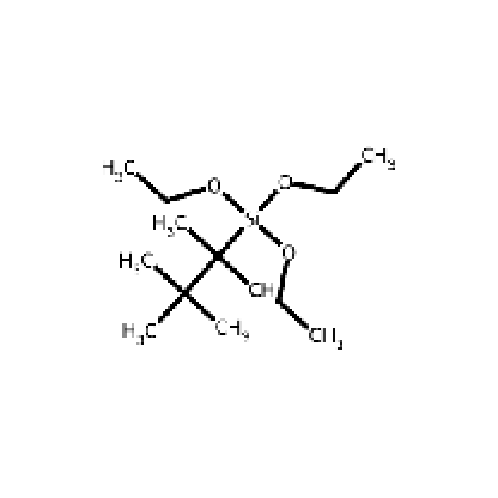 CCO[Si](OCC)(OCC)C(C)(C)C(C)(C)C